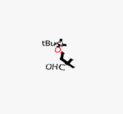 CC(C)(C=O)CCO[Si](C)(C)C(C)(C)C